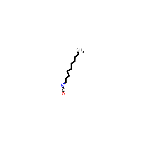 O=C=NCCCCCCCCC[SiH3]